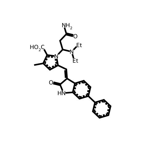 CCN(CC)C(CC(N)=O)n1c(C=C2C(=O)Nc3cc(-c4ccccc4)ccc32)cc(C)c1C(=O)O